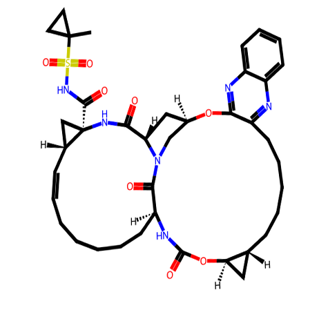 CC1(S(=O)(=O)NC(=O)[C@@]23C[C@H]2/C=C\CCCCC[C@@H]2NC(=O)O[C@@H]4C[C@H]4CCCCCc4nc5ccccc5nc4O[C@@H]4C[C@@H](C(=O)N3)N(C4)C2=O)CC1